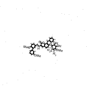 COc1cccc(-c2cc(CNc3cc4ccc(O[C@@H]5OC(C)(C)C(OC)C(O)C5O)c(Cc5ccccc5)c4oc3=O)ccc2OC)c1